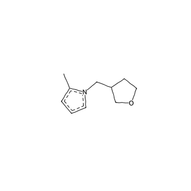 Cc1cccn1CC1CCOC1